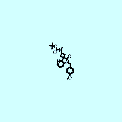 COc1ccc(CN2C(=O)C3(CC(N(C)C(=O)OC(C)(C)C)C3)c3ncccc32)cc1